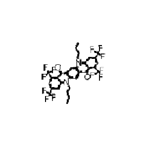 CCCCn1c2cc3c(=O)c4c(C(F)(F)F)cc(C(F)(F)F)cc4n(CCCC)c3cc2c(=O)c2c(C(F)(F)F)cc(C(F)(F)F)cc21